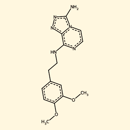 COc1ccc(CCNc2nccn3c(N)nnc23)cc1OC